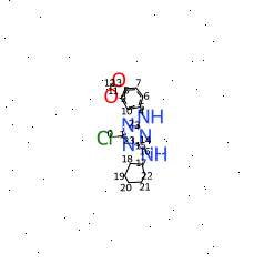 Clc1nc(Nc2ccc3c(c2)OCO3)nc(NC2CCCCC2)n1